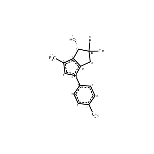 O[C@H]1c2c(C(F)(F)F)cn(-c3ccc(C(F)(F)F)cc3)c2CC1(F)F